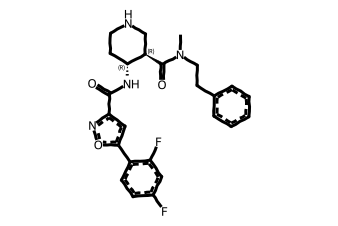 CN(CCc1ccccc1)C(=O)[C@@H]1CNCC[C@H]1NC(=O)c1cc(-c2ccc(F)cc2F)on1